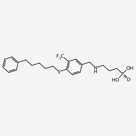 O=P(O)(O)CCCNCc1ccc(SCCCCCc2ccccc2)c(C(F)(F)F)c1